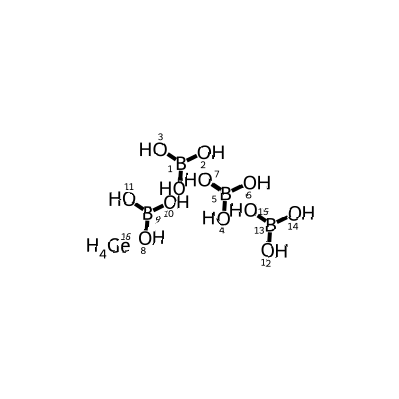 OB(O)O.OB(O)O.OB(O)O.OB(O)O.[GeH4]